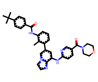 Cc1c(NC(=O)c2ccc(C(C)(C)C)cc2)cccc1-c1cc(Nc2ccc(C(=O)N3CCOCC3)cn2)c2nccn2c1